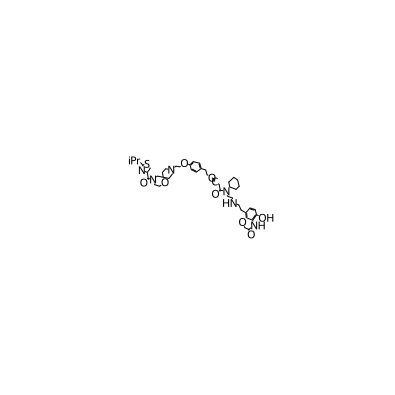 CC(C)C1=NC(C(=O)N2CCOC3(CCN(CCOc4ccc(CCOCCC(=O)N(CCNCCc5ccc(O)c6c5OCC(=O)N6)C5CCCCC5)cc4)CC3)C2)CS1